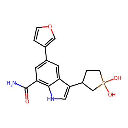 NC(=O)c1cc(-c2ccoc2)cc2c(C3CCS(O)(O)C3)c[nH]c12